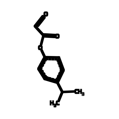 CC(C)c1ccc(OC(=O)C=O)cc1